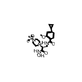 COc1cc(C2CC2)ccc1C(=O)NC[C@@H](C(=O)NO)N1CCN(S(C)(=O)=O)CC1